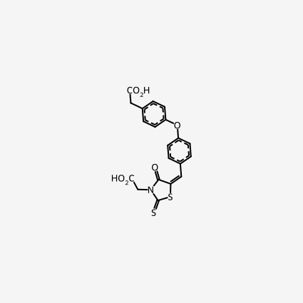 O=C(O)Cc1ccc(Oc2ccc(C=C3SC(=S)N(CC(=O)O)C3=O)cc2)cc1